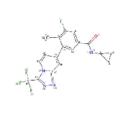 Cc1c(F)cc(C(=O)NC2CC2)cc1-c1ccn2c(C(F)(F)F)nnc2c1